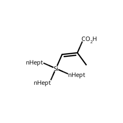 CCCCCCC[Si](C=C(C)C(=O)O)(CCCCCCC)CCCCCCC